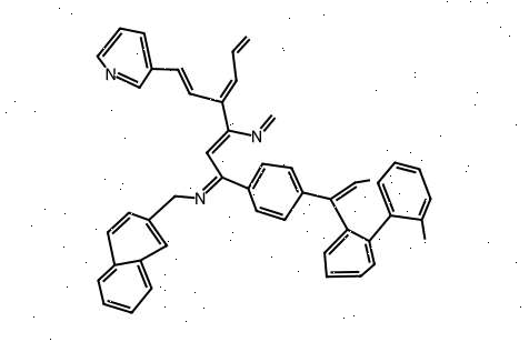 C=C/C=C(\C=C\c1cccnc1)C(=C/C(=N\Cc1ccc2ccccc2c1)c1ccc(/C(=C/C)c2ccccc2-c2ccccc2C)cc1)/N=C